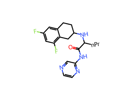 CCCC(NC1CCc2cc(F)cc(F)c2C1)C(=O)Nc1cnccn1